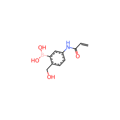 C=CC(=O)Nc1ccc(CO)c(B(O)O)c1